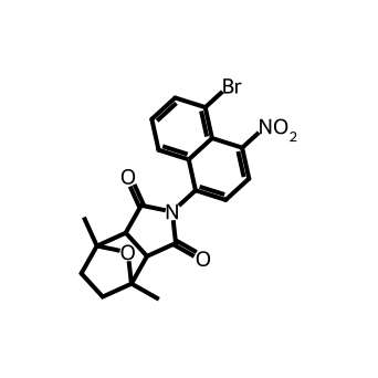 CC12CCC(C)(O1)C1C(=O)N(c3ccc([N+](=O)[O-])c4c(Br)cccc34)C(=O)C12